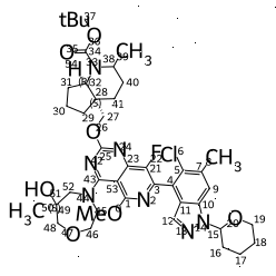 COc1nc(-c2c(Cl)c(C)cc3c2cnn3C2CCCCO2)c(F)c2nc(OC[C@]34CCC[C@H]3N(C(=O)OC(C)(C)C)C(C)CC4)nc(N3CCOC[C@@](C)(O)C3)c12